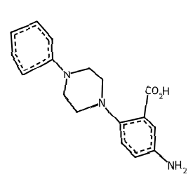 Nc1ccc(N2CCN(c3ccccc3)CC2)c(C(=O)O)c1